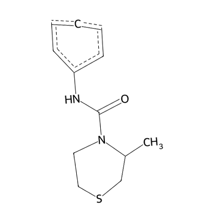 CC1CSCCN1C(=O)Nc1ccccc1